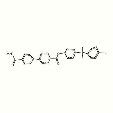 COC(=O)c1ccc(-c2ccc(C(=O)Oc3ccc(C(C)(C)c4ccc(C)cc4)cc3)cc2)cc1